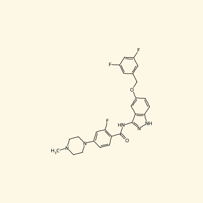 CN1CCN(c2ccc(C(=O)Nc3n[nH]c4ccc(OCc5cc(F)cc(F)c5)cc34)c(F)c2)CC1